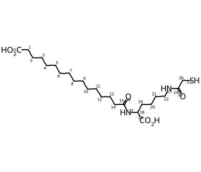 O=C(O)CCCCCCCCCCCCCCC(=O)NC(CCCCNC(=O)CS)C(=O)O